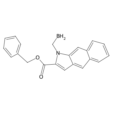 BCn1c(C(=O)OCc2ccccc2)cc2cc3ccccc3cc21